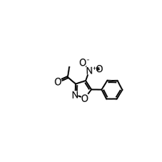 CC(=O)c1noc(-c2ccccc2)c1[N+](=O)[O-]